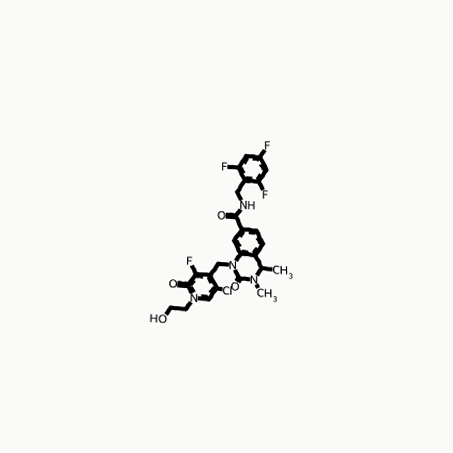 CC1c2ccc(C(=O)NCc3c(F)cc(F)cc3F)cc2N(Cc2c(Cl)cn(CCO)c(=O)c2F)C(=O)N1C